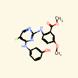 COC(=O)c1cc(OC)ccc1Nc1ncc(F)c(Nc2cccc(O)c2)n1